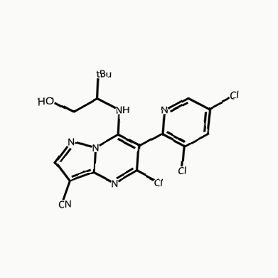 CC(C)(C)C(CO)Nc1c(-c2ncc(Cl)cc2Cl)c(Cl)nc2c(C#N)cnn12